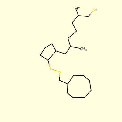 CCCC(CS)CCCC(C)CC1CCCC1SSCC1CCCCCCC1